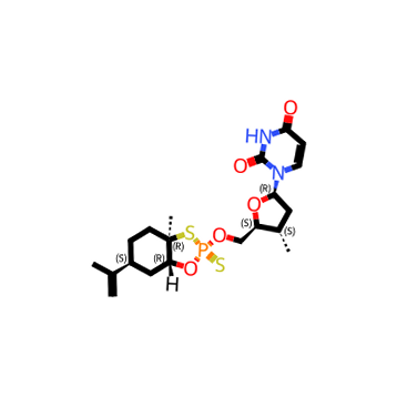 C=C(C)[C@H]1CC[C@@]2(C)SP(=S)(OC[C@H]3O[C@@H](n4ccc(=O)[nH]c4=O)C[C@@H]3C)O[C@@H]2C1